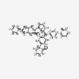 c1ccc(-c2ccc(N(c3ccc4c(c3)oc3ccccc34)c3cccc4c3oc3cc5sc(-c6ccccc6)nc5cc34)cc2)cc1